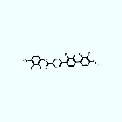 CCCc1ccc(OC(=O)C2CC=C(c3ccc(-c4ccc(OCC)c(F)c4F)c(F)c3F)CC2)c(F)c1F